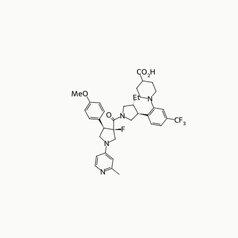 CC[C@H]1CN(C(=O)[C@]2(F)CN(c3ccnc(C)c3)C[C@H]2c2ccc(OC)cc2)C[C@@H]1c1ccc(C(F)(F)F)cc1N1CCC(C(=O)O)CC1